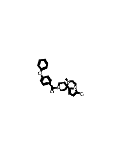 CN1CCn2c(Cl)ccc2C12CCN(C(=O)c1ccc(Oc3ccccc3)cc1)CC2